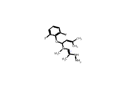 CC(C)=CC(Oc1c(F)cccc1F)N(C)/C=C(\C)NN